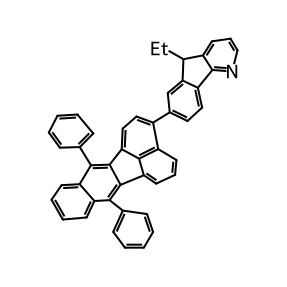 CCC1c2cc(-c3ccc4c5c(cccc35)-c3c-4c(-c4ccccc4)c4ccccc4c3-c3ccccc3)ccc2-c2ncccc21